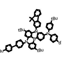 CC(C)(C)c1ccc(-c2ccc(N3c4ccc(C(C)(C)C)cc4B4c5ccc(N(c6ccc(C(C)(C)C)cc6)c6ccc(C(C)(C)C)cc6)cc5N(c5ccc6c(c5)C(C)(C)c5ccccc5-6)c5cc(C(C)(C)C)cc3c54)cc2)cc1